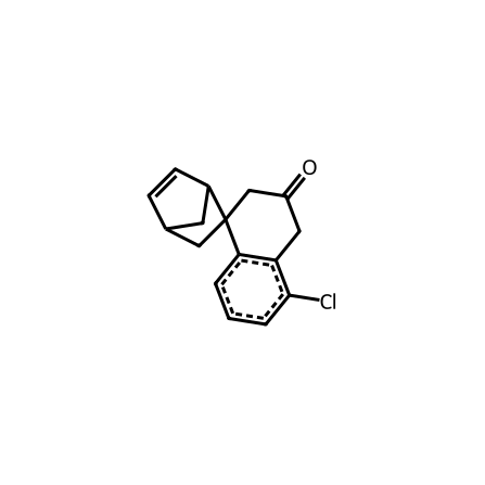 O=C1Cc2c(Cl)cccc2C2(C1)CC1C=CC2C1